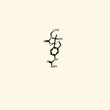 CNC(=O)Nc1ccc2c(c1)CC[C@@]21OC(=O)N(CC=O)C1(C)O